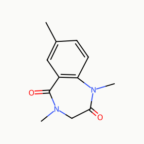 Cc1ccc2c(c1)C(=O)N(C)CC(=O)N2C